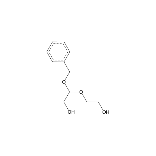 OCCOC(CO)OCc1ccccc1